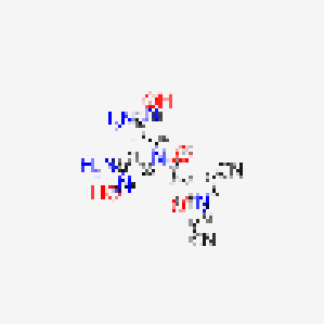 N#CCCN(CCC#N)C(=O)CCC(=O)N(CCC(N)=NO)CCC(N)=NO